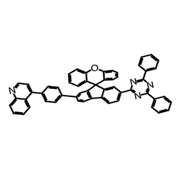 c1ccc(-c2nc(-c3ccccc3)nc(-c3ccc4c(c3)C3(c5ccccc5Oc5ccccc53)c3cc(-c5ccc(-c6ccnc7ccccc67)cc5)ccc3-4)n2)cc1